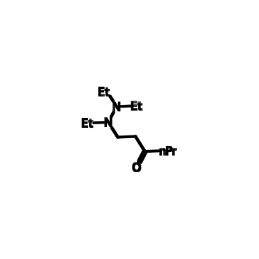 CCCC(=O)CCN(CC)N(CC)CC